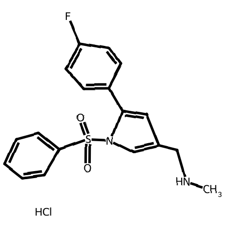 CNCc1cc(-c2ccc(F)cc2)n(S(=O)(=O)c2ccccc2)c1.Cl